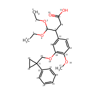 CCOC(OCC)C(CC(=O)O)c1ccc(OC)c(OCC2(c3ccccc3)CC2)c1